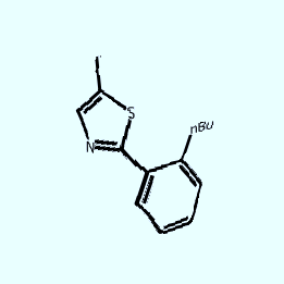 [CH2]c1cnc(-c2ccccc2CCCC)s1